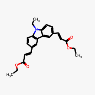 CCOC(=O)C=Cc1ccc2c(c1)c1cc(C=CC(=O)OCC)ccc1n2CC